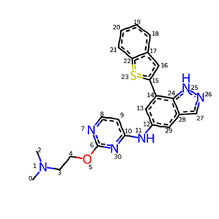 CN(C)CCOc1nccc(Nc2cc(-c3cc4ccccc4s3)c3[nH]ncc3c2)n1